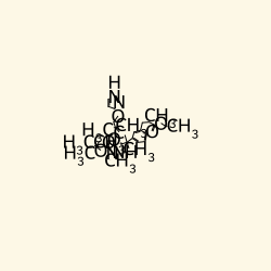 CCOC(=O)C(C)Cc1cccc(C(C)(CCC(C)(C)COc2cc[nH]n2)C(=O)NN(C)C(=O)OC(C)(C)C)c1